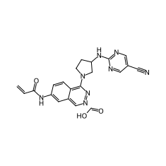 C=CC(=O)Nc1ccc2c(N3CCC(Nc4ncc(C#N)cn4)C3)nncc2c1.O=CO